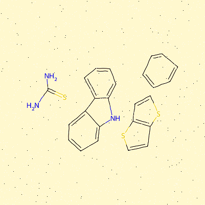 NC(N)=S.c1cc2sccc2s1.c1ccc2c(c1)[nH]c1ccccc12.c1ccccc1